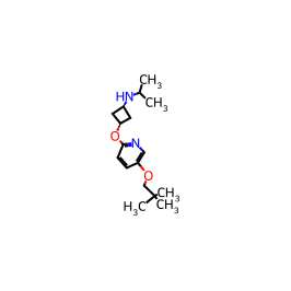 CC(C)N[C@H]1C[C@@H](Oc2ccc(OCC(C)(C)C)cn2)C1